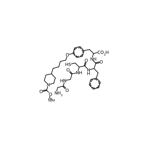 CC(C)(C)OC(=O)N1CCC(CCCCOc2ccc(CC(NC(=O)C(Cc3ccccc3)NC(=O)C(CS)NC(=O)CNC(=O)CN)C(=O)O)cc2)CC1